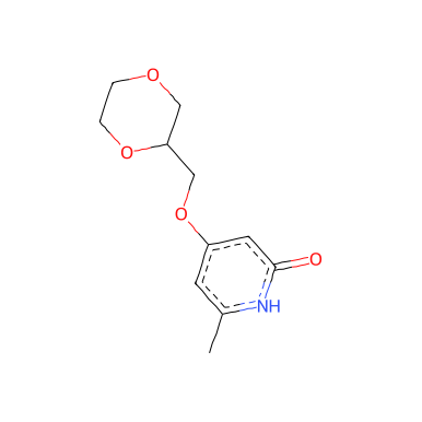 Cc1cc(OCC2COCCO2)cc(=O)[nH]1